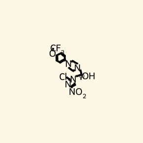 C[C@](O)(CN1CCN(c2ccc(OC(F)(F)F)cc2)CC1)Cn1cc([N+](=O)[O-])nc1Cl